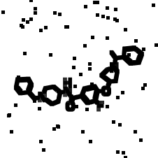 CC(c1ccccc1)N1CCC(Oc2ccc(C(=O)NC3CCN(Cc4ccccc4)CC3)cc2F)CC1